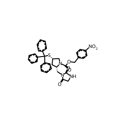 O=C1CNC(=O)N1C[C@@H]1C[C@H](SC(c2ccccc2)(c2ccccc2)c2ccccc2)CN1C(=O)OCc1ccc([N+](=O)[O-])cc1